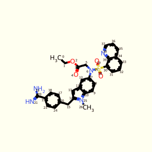 CCOC(=O)CN(c1ccc2c(c1)cc(Cc1ccc(C(=N)N)cc1)n2C)S(=O)(=O)c1cccc2cccnc12